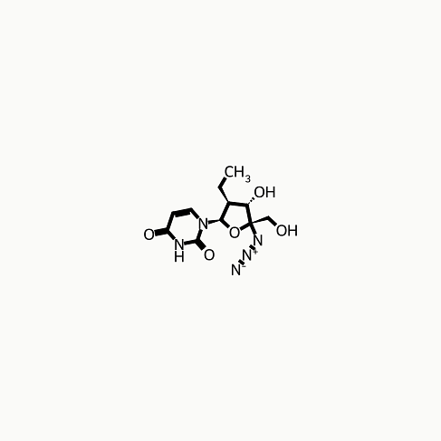 CC[C@@H]1[C@H](n2ccc(=O)[nH]c2=O)O[C@@](CO)(N=[N+]=[N-])[C@H]1O